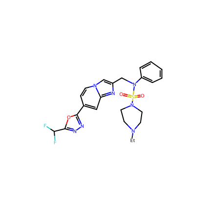 CCN1CCN(S(=O)(=O)N(Cc2cn3ccc(-c4nnc(C(F)F)o4)cc3n2)c2ccccc2)CC1